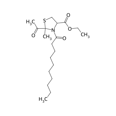 CCCCCCCCCC(=O)N1C(C(=O)OCC)CSC1(C)C(C)=O